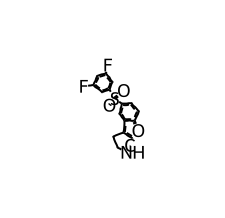 O=S(=O)(c1cc(F)cc(F)c1)c1ccc2oc3c(c2c1)CCNC3